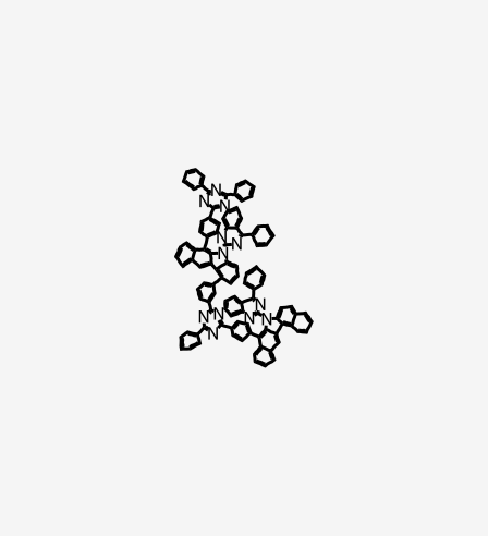 c1ccc(-c2nc(-c3ccccc3)nc(-c3ccc(-c4c5ccccc5cc5c6c(-c7cccc(-c8nc(-c9ccccc9)nc(-c9ccc(-c%10c%11ccccc%11cc%11c%12c%13ccccc%13ccc%12n(-c%12nc(-c%13ccccc%13)c%13ccccc%13n%12)c%10%11)cc9)n8)c7)cccc6n(-c6nc(-c7ccccc7)c7ccccc7n6)c45)cc3)n2)cc1